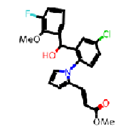 COC(=O)/C=C/c1cccn1-c1ccc(Cl)cc1C(O)c1cccc(F)c1OC